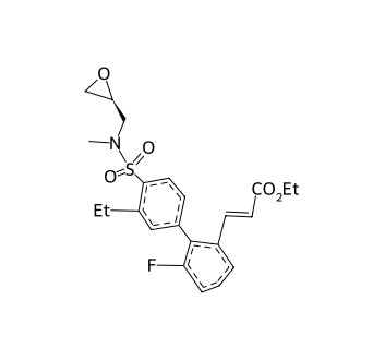 CCOC(=O)C=Cc1cccc(F)c1-c1ccc(S(=O)(=O)N(C)C[C@H]2CO2)c(CC)c1